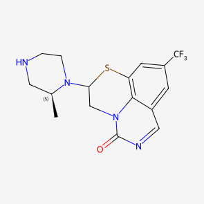 C[C@H]1CNCCN1C1Cn2c(=O)ncc3cc(C(F)(F)F)cc(c32)S1